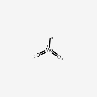 [CH3][Mo](=[O])=[O]